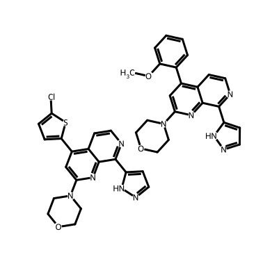 COc1ccccc1-c1cc(N2CCOCC2)nc2c(-c3ccn[nH]3)nccc12.Clc1ccc(-c2cc(N3CCOCC3)nc3c(-c4ccn[nH]4)nccc23)s1